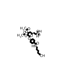 C#CCCCCNC(=O)c1ccc(OC2O[C@H](CC[PH](=O)O)C[C@H](OC(C)=O)[C@@H]2OC(C)=O)cc1